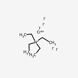 CC[N+](CC)(CC)CC.[Cr+4].[I-].[I-].[I-].[I-].[I-]